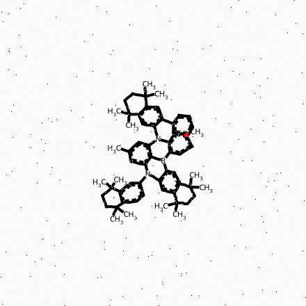 Cc1ccc2c(c1)N(c1cc3c(cc1-c1ccccc1)C(C)(C)CCC3(C)C)c1cc(C)cc3c1B2c1cc2c(cc1N3c1ccc3c(c1)C(C)(C)CCC3(C)C)C(C)(C)CCC2(C)C